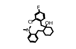 CN(C)c1ccccc1CC1CCCCC1(O)Cc1ccc(F)cc1Cl